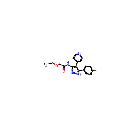 CCOCC(=O)Nc1n[nH]c(-c2ccc(F)cc2)c1-c1ccncc1